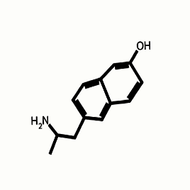 CC(N)Cc1ccc2cc(O)ccc2c1